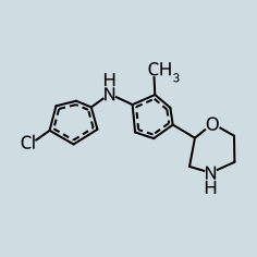 Cc1cc(C2CNCCO2)ccc1Nc1ccc(Cl)cc1